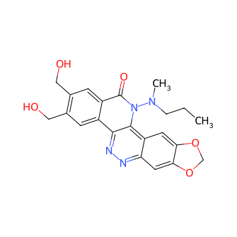 CCCN(C)n1c(=O)c2cc(CO)c(CO)cc2c2nnc3cc4c(cc3c21)OCO4